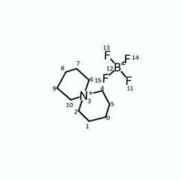 C1CC[N+]2(CC1)CCCCC2.F[B-](F)(F)F